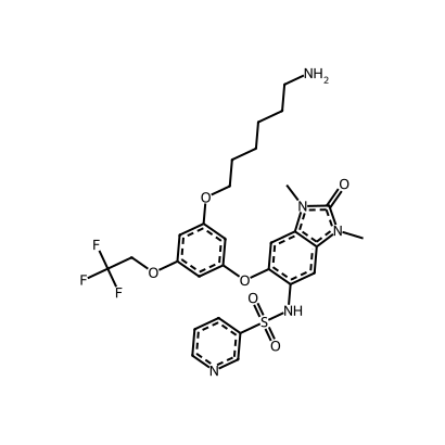 Cn1c(=O)n(C)c2cc(Oc3cc(OCCCCCCN)cc(OCC(F)(F)F)c3)c(NS(=O)(=O)c3cccnc3)cc21